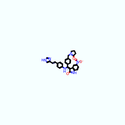 O=C1Nc2ccc([N+](=O)[O-])cc2/C1=C(/Nc1ccc(/C=C/c2c[nH]cn2)cc1)c1ccc(CN2CCCC2=O)cc1